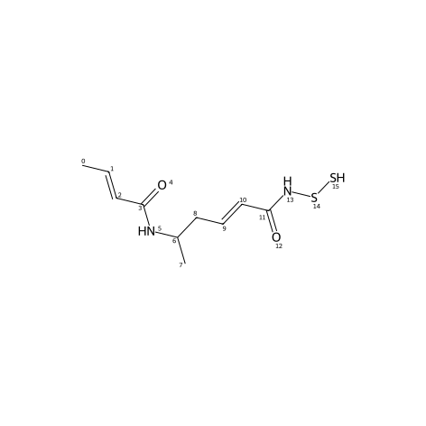 C/C=C/C(=O)NC(C)C/C=C/C(=O)NSS